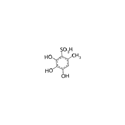 Cc1cc(O)c(O)c(O)c1S(=O)(=O)O